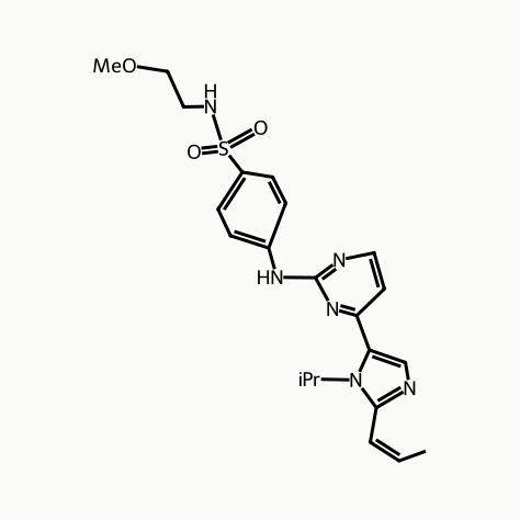 C/C=C\c1ncc(-c2ccnc(Nc3ccc(S(=O)(=O)NCCOC)cc3)n2)n1C(C)C